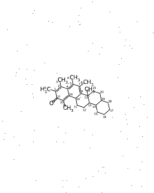 CC1=C(C)C2=C(C)C(C)=C3C(CCC4C5CCCCC5CCC34C)C2=C(C)C1=O